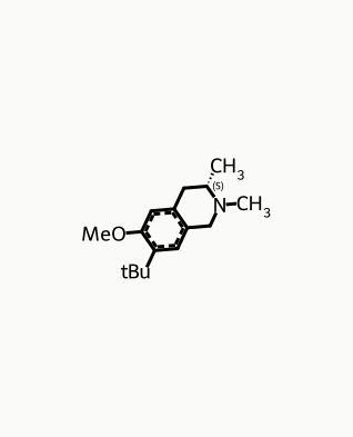 COc1cc2c(cc1C(C)(C)C)CN(C)[C@@H](C)C2